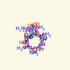 CC(C)C[C@@H]1NC(=O)[C@@H](Cc2ccccc2)NC(=O)[C@H](CCN)NC(=O)[C@@H](NC(=O)[C@H](CN)NC(=O)[C@@H](NC(=O)[C@H](CCN)NC(=O)c2ccnc(-c3cccc(Cl)c3)c2)[C@@H](C)O)CCNC(=O)[C@H]([C@@H](C)O)NC(=O)[C@H](CCN)NC(=O)[C@H](CCN)NC1=O